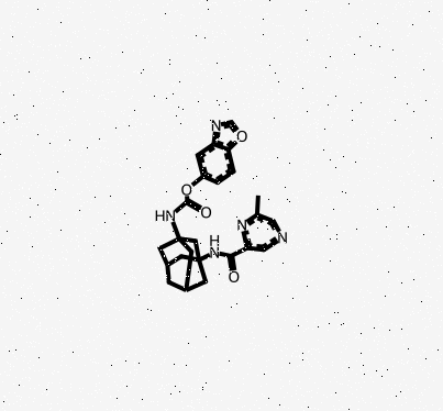 Cc1cncc(C(=O)NC23CC4CC(CC(NC(=O)Oc5ccc6ocnc6c5)(C4)C2)C3)n1